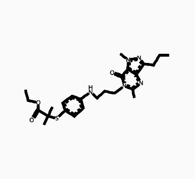 CCCc1nn(C)c2c(=O)n(CCCNc3ccc(SC(C)(C)C(=O)OCC)cc3)c(C)nc12